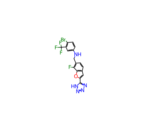 Fc1c(CNc2ccc(Br)c(C(F)(F)F)c2)ccc2cc(-c3nnn[nH]3)oc12